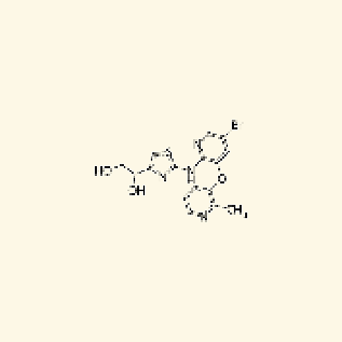 Cc1ncccc1Oc1cc(Br)cnc1Nc1nc(C(O)CO)cs1